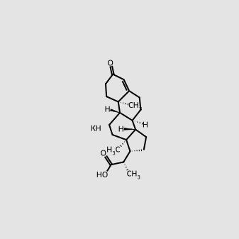 C[C@H](C(=O)O)[C@H]1CC[C@H]2[C@@H]3CCC4=CC(=O)CC[C@]4(C)[C@H]3CC[C@]12C.[KH]